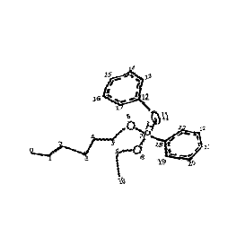 CCCCCCO[PH](OCC)(Oc1ccccc1)c1ccccc1